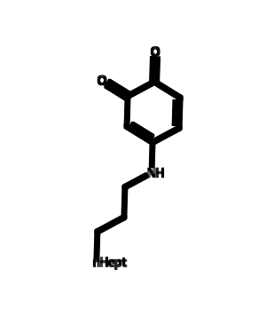 CCCCCCCCCCNC1=CC(=O)C(=O)C=C1